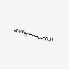 CCCCC[C@@H]1OC1CCCCC=CC=CC=CC(=O)O